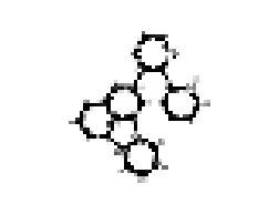 c1ccc(-c2ncccc2-c2cc3c4c(cccc4c2)-c2ccccc2-3)nc1